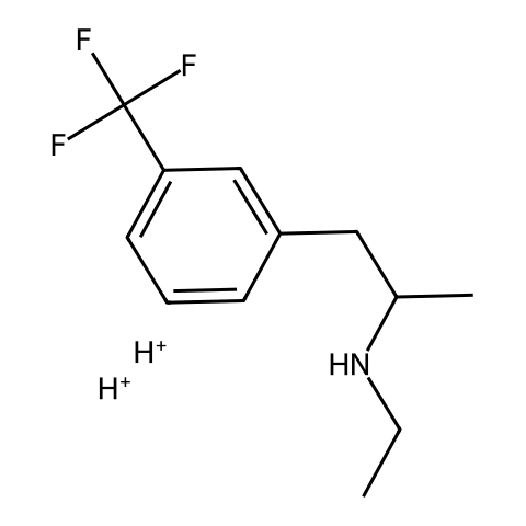 CCNC(C)Cc1cccc(C(F)(F)F)c1.[H+].[H+]